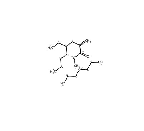 C=C(CC(CC)CCCC)C(=O)OC.OCCOCCO